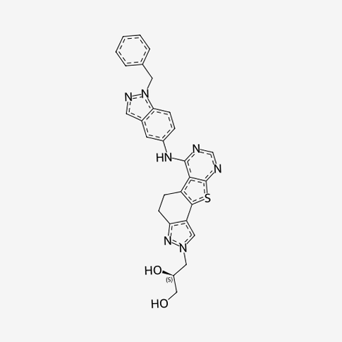 OC[C@@H](O)Cn1cc2c(n1)CCc1c-2sc2ncnc(Nc3ccc4c(cnn4Cc4ccccc4)c3)c12